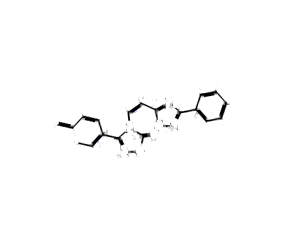 C=C/C=C\C(=C/C)c1noc(=O)n1/C=C\c1nc(-c2ccccc2)no1